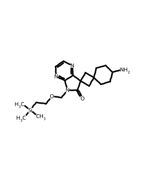 C[Si](C)(C)CCOCN1C(=O)C2(CC3(CCC(N)CC3)C2)c2nccnc21